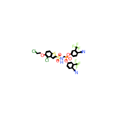 N#Cc1ccc(OP(=O)(CNS(=O)(=O)c2cc3c(Cl)c(OCCCl)ccc3s2)Oc2ccc(C#N)c(C(F)(F)F)c2)cc1C(F)(F)F